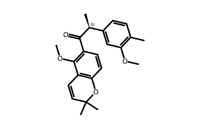 COc1cc([C@H](C)C(=O)c2ccc3c(c2OC)C=CC(C)(C)O3)ccc1C